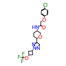 O=C(COc1ccc(Cl)cc1)N[C@@H]1CCC(c2cnn(C3CC(OC(F)(F)F)C3)n2)OC1